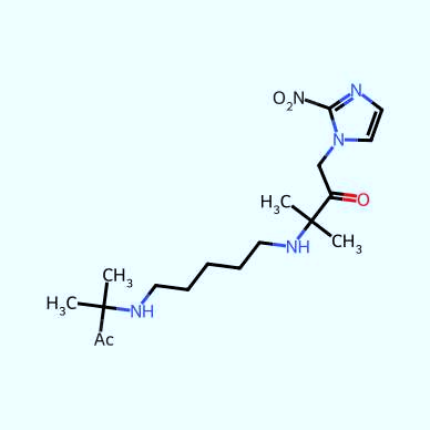 CC(=O)C(C)(C)NCCCCCNC(C)(C)C(=O)Cn1ccnc1[N+](=O)[O-]